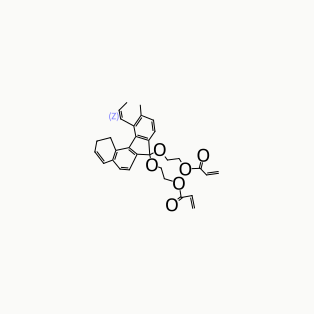 C=CC(=O)OCCOC1(OCCOC(=O)C=C)c2ccc(C)c(/C=C\C)c2-c2c1ccc1c2CCC=C1